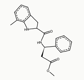 COC(=O)C[C@@H](NC(=O)C1Cc2cccc(C)c2N1)c1ccccc1